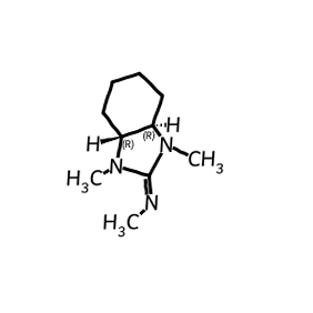 CN=C1N(C)[C@@H]2CCCC[C@H]2N1C